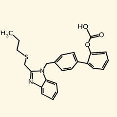 CCCSCc1nc2ccccc2n1Cc1ccc(-c2ccccc2OC(=O)O)cc1